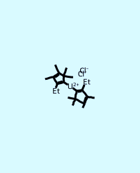 CCC1=[C]([U+2][C]2=C(CC)C(C)=C(C)C2(C)C)C(C)(C)C(C)=C1C.[Cl-].[Cl-]